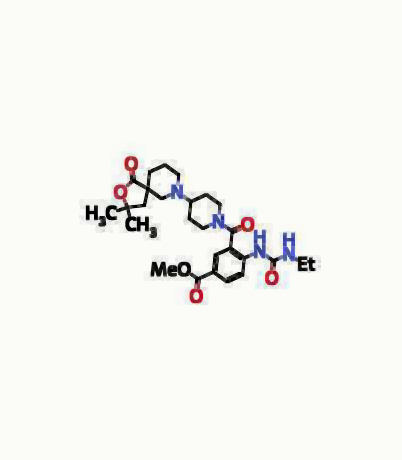 CCNC(=O)Nc1ccc(C(=O)OC)cc1C(=O)N1CCC(N2CCCC3(C2)CC(C)(C)OC3=O)CC1